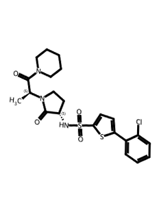 C[C@@H](C(=O)N1CCCCC1)N1CC[C@H](NS(=O)(=O)c2ccc(-c3ccccc3Cl)s2)C1=O